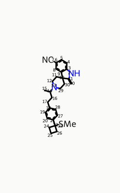 C=C1Nc2ccc(C#N)cc2C12CCN(C(C)CCc1ccc(C3(SC)CCC3)cc1)CC2